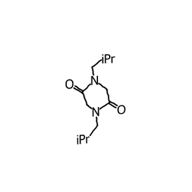 CC(C)CN1CC(=O)N(CC(C)C)CC1=O